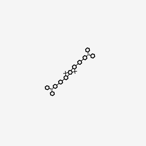 CC1(C)c2cc(-c3ccc(-c4ccc(N(c5ccccc5)c5ccccc5)cc4)cc3)ccc2-c2cc3c(cc21)-c1ccc(-c2ccc(-c4ccc(N(c5ccccc5)c5ccccc5)cc4)cc2)cc1C3(C)C